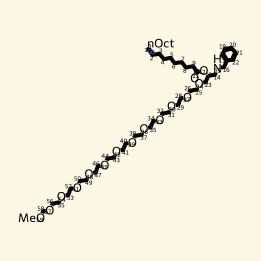 CCCCCCCC/C=C\CCCCCCCC(=O)OC(CNCc1ccccc1)COCCOCCOCCOCCOCCOCCOCCOCCOCCOCCOCCOCOC